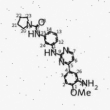 COc1ccc(-c2ccnc(Nc3cccc(NC(=O)N4CCCC4)c3)n2)cc1N